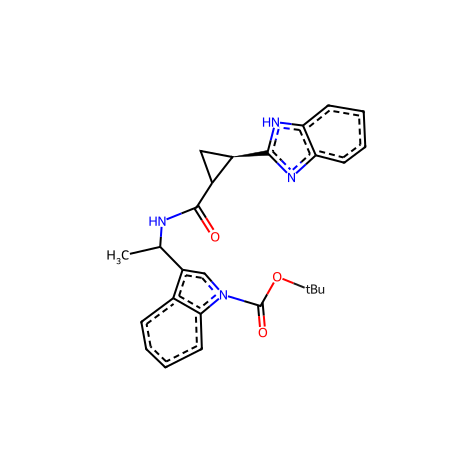 CC(NC(=O)C1C[C@H]1c1nc2ccccc2[nH]1)c1cn(C(=O)OC(C)(C)C)c2ccccc12